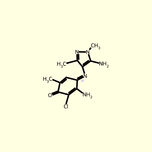 CC1=C/C(=N\c2c(C)nn(C)c2N)C(N)=C(Cl)C1=O